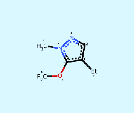 CCc1[c]nn(C)c1OC(F)(F)F